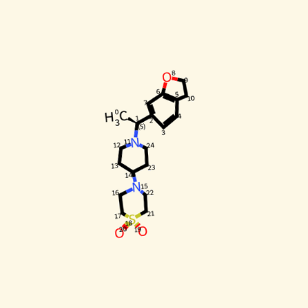 C[C@@H](c1ccc2c(c1)OCC2)N1CCC(N2CCS(=O)(=O)CC2)CC1